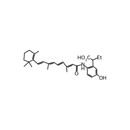 CCC(C(=O)O)c1cc(O)ccc1NC(=O)/C=C(C)/C=C/C=C(C)/C=C/C1=C(C)CCCC1(C)C